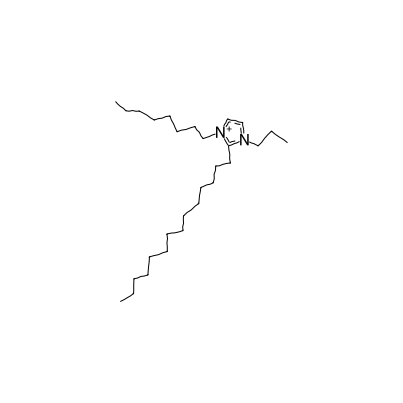 CCCCCCCCCCCCCCc1n(CCC)cc[n+]1CCCCCCCC